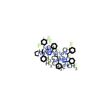 CN(C)C(CNC(CNC(CCNC(CCNC(CNc1cc(F)[c]cc1F)(c1cccc(F)c1)N1CCCC1)(c1cc(F)ccc1F)N(C)C)(c1cccc(F)c1)N(C)C)(c1cc(F)ccc1F)N(C)C)c1cccc(F)c1